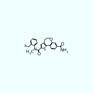 CN(C(=O)c1cc2c(s1)-c1ccc(C(N)=O)cc1OCC2)c1ccccc1CI